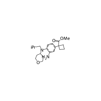 COC(=O)C1(c2ccc(N(CC(C)C)C3CCOCC3)c(N)c2)CCC1